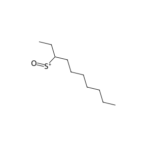 CCCCCCCC(CC)[S+]=O